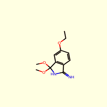 CCOc1ccc2c(c1)C(OC)(OC)NC2=N